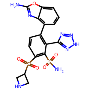 Nc1nc2c(-c3ccc(S(=O)(=O)C4CNC4)c(S(N)(=O)=O)c3-c3nn[nH]n3)cccc2o1